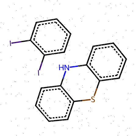 Ic1ccccc1I.c1ccc2c(c1)Nc1ccccc1S2